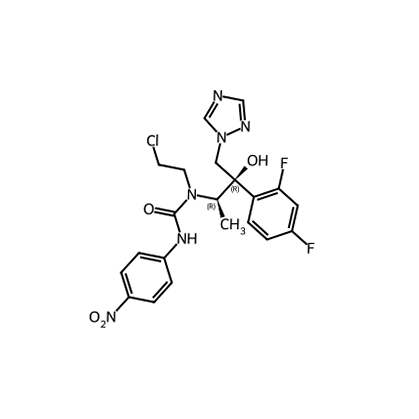 C[C@@H](N(CCCl)C(=O)Nc1ccc([N+](=O)[O-])cc1)[C@](O)(Cn1cncn1)c1ccc(F)cc1F